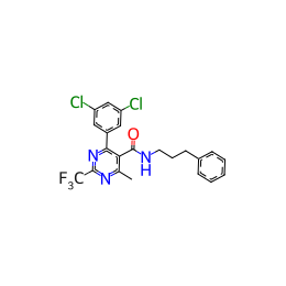 Cc1nc(C(F)(F)F)nc(-c2cc(Cl)cc(Cl)c2)c1C(=O)NCCCc1ccccc1